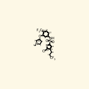 CN1CC[C@@H](Oc2cc(NS(=O)(=O)c3cc(CCC(F)(F)F)c(Cl)s3)ccc2C(F)(F)F)C1